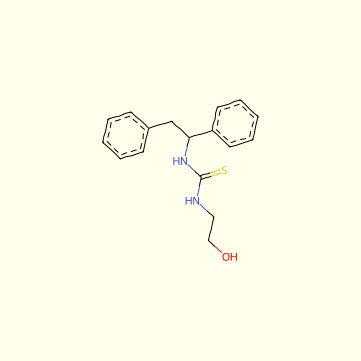 OCCNC(=S)NC(Cc1ccccc1)c1ccccc1